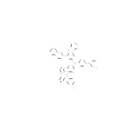 Clc1ccc2c(c1)Sc1cc(N(c3ccc(C4=CCCC=C4)cc3)c3cc(-c4ccc5ccccc5c4)c4oc5ccccc5c4c3)ccc1C21c2ccccc2-c2ccccc21